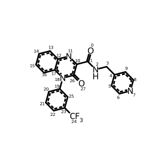 O=C(NCc1ccncc1)c1nc2ccccc2n(-c2cccc(C(F)(F)F)c2)c1=O